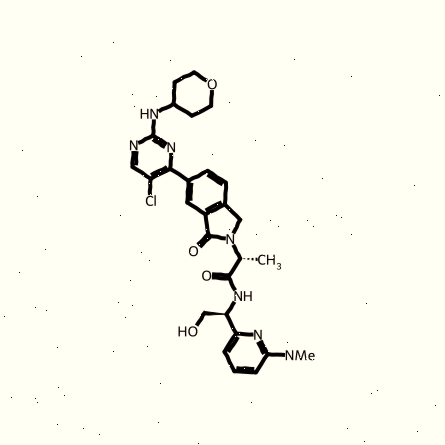 CNc1cccc([C@@H](CO)NC(=O)[C@@H](C)N2Cc3ccc(-c4nc(NC5CCOCC5)ncc4Cl)cc3C2=O)n1